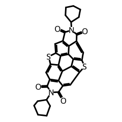 O=c1c2cc3sc4cc5c(=O)n(C6CCCCC6)c(=O)c6cc7sc8cc(c(=O)n1C1CCCCC1)c2c1c3c4c(c56)c7c81